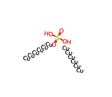 O=S(=O)(O)O.[Cu].[Cu].[Cu].[Cu].[Cu].[Cu].[Cu].[Cu].[Cu].[Cu].[Cu].[Cu]